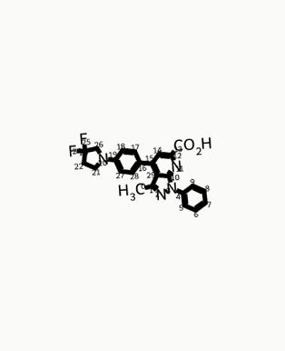 Cc1nn(-c2ccccc2)c2nc(C(=O)O)cc(-c3ccc(N4CCC(F)(F)C4)cc3)c12